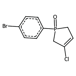 O=P1(c2ccc(Br)cc2)CC=C(Cl)C1